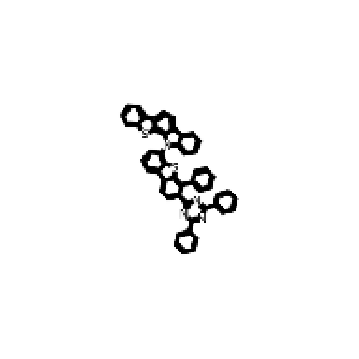 c1ccc(-c2nc(-c3ccccc3)nc(-c3ccc4c(sc5c(-n6c7ccccc7c7ccc8c9ccccc9sc8c76)cccc54)c3-c3ccccc3)n2)cc1